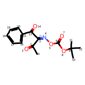 CC(=O)/C(=N\OC(=O)OC(C)(C)C)C(=O)c1ccccc1